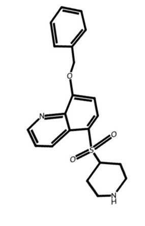 O=S(=O)(c1ccc(OCc2ccccc2)c2ncccc12)C1CCNCC1